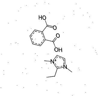 CCc1n(C)cc[n+]1C.O=C(O)c1ccccc1C(=O)O